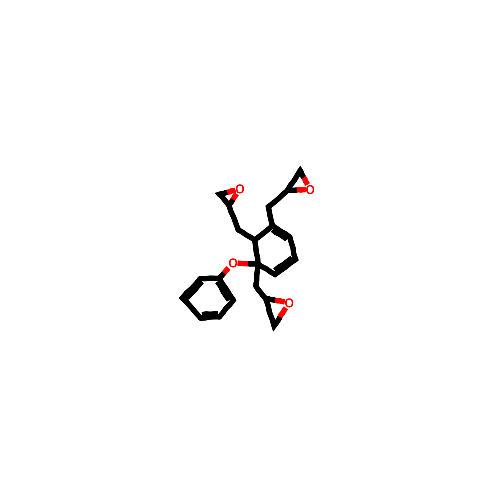 C1=CC(CC2CO2)(Oc2ccccc2)C(CC2CO2)C(CC2CO2)=C1